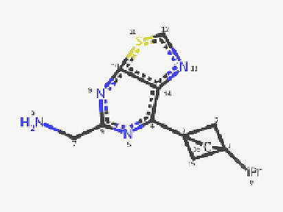 CC(C)C12CC(c3nc(CN)nc4scnc34)(C1)C2